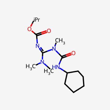 CC(C)OC(=O)/N=C(/N(C)C)N(C)C(=O)NC1CCCCC1